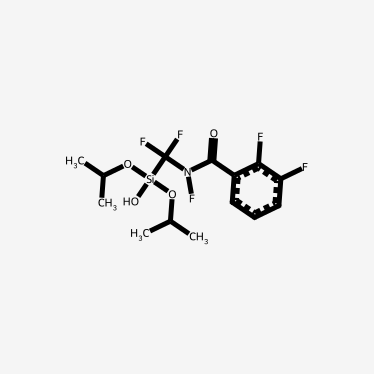 CC(C)O[Si](O)(OC(C)C)C(F)(F)N(F)C(=O)c1cccc(F)c1F